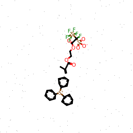 C=C(C)C(=O)OCCOC(=O)C(F)(S(=O)(=O)[O-])S(F)(F)(F)(F)F.c1ccc([S+](c2ccccc2)c2ccccc2)cc1